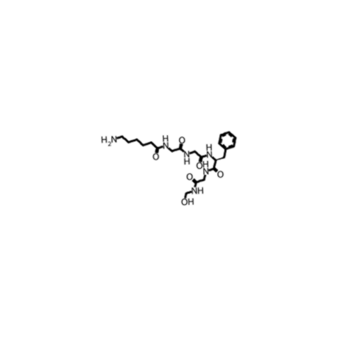 NCCCCCC(=O)NCC(=O)NCC(=O)N[C@@H](Cc1ccccc1)C(=O)NCC(=O)NCO